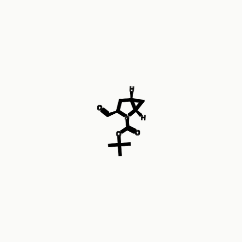 CC(C)(C)OC(=O)N1[C@@H](C=O)C[C@@H]2C[C@@H]21